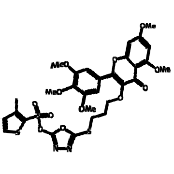 COc1cc(OC)c2c(=O)c(OCCCSc3nnc(OS(=O)(=O)c4sccc4C)o3)c(-c3cc(OC)c(OC)c(OC)c3)oc2c1